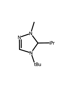 CC(C)C1N(C)N=CN1C(C)(C)C